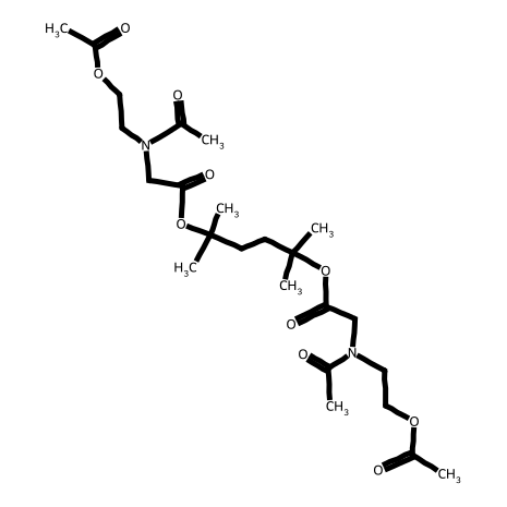 CC(=O)OCCN(CC(=O)OC(C)(C)CCC(C)(C)OC(=O)CN(CCOC(C)=O)C(C)=O)C(C)=O